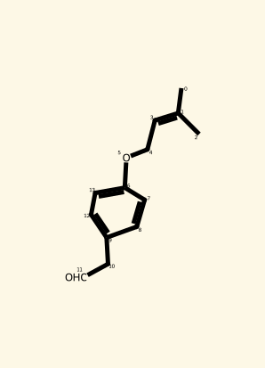 CC(C)=CCOc1ccc(CC=O)cc1